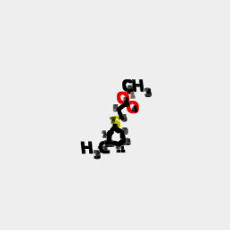 CCOC(=O)CCSc1cccc(C)c1